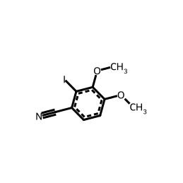 COc1ccc(C#N)c(I)c1OC